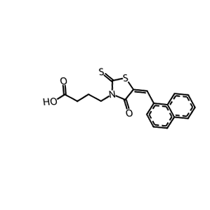 O=C(O)CCCN1C(=O)/C(=C\c2cccc3ccccc23)SC1=S